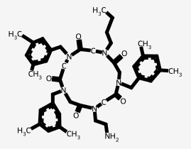 CCCCN1CC(=O)N(Cc2cc(C)cc(C)c2)CC(=O)N(Cc2cc(C)cc(C)c2)CC(=O)N(CCN)CC(=O)N(Cc2cc(C)cc(C)c2)CC1=O